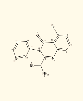 CCC(N)c1nc2cccc(F)c2c(=O)n1-c1cccnc1